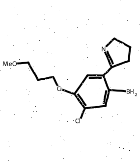 Bc1cc(Cl)c(OCCCOC)cc1C1=NCCC1